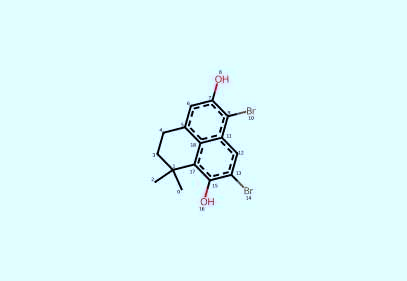 CC1(C)CCc2cc(O)c(Br)c3cc(Br)c(O)c1c23